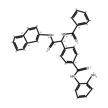 Nc1ccccc1NC(=O)c1ccc(C(NC(=O)c2ccccc2)C(=O)Nc2ccc3ccccc3c2)cc1